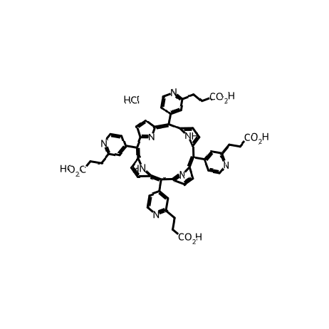 Cl.O=C(O)CCc1cc(-c2c3nc(c(-c4ccnc(CCC(=O)O)c4)c4ccc([nH]4)c(-c4ccnc(CCC(=O)O)c4)c4nc(c(-c5ccnc(CCC(=O)O)c5)c5ccc2[nH]5)C=C4)C=C3)ccn1